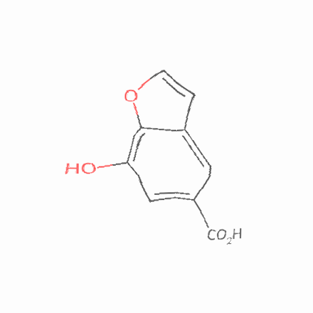 O=C(O)c1cc(O)c2occc2c1